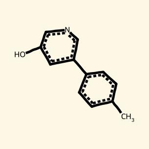 Cc1ccc(-c2cncc(O)c2)cc1